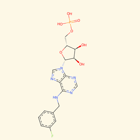 O=P(O)(O)OC[C@H]1O[C@@H](n2cnc3c(NCc4cccc(F)c4)ncnc32)[C@H](O)[C@@H]1O